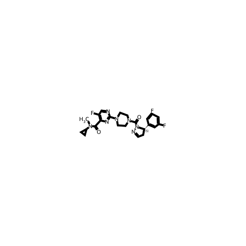 CN(C(=O)c1nc(N2CCN(C(=O)N3N=CC[C@H]3c3cc(F)cc(F)c3)CC2)ncc1F)C1CC1